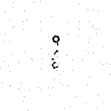 CC1CN[C@H](C(=O)NCC(=O)OCc2ccccc2)C1